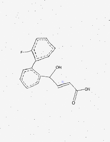 O=C(O)/C=C/C(O)c1ccccc1-c1ccccc1F